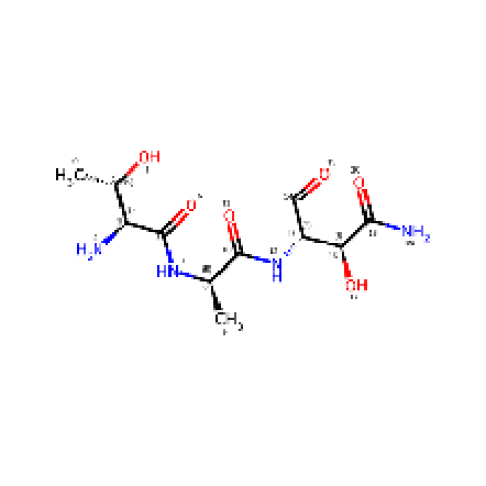 C[C@H](O)[C@H](N)C(=O)N[C@H](C)C(=O)N[C@H]([C]=O)[C@H](O)C(N)=O